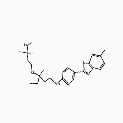 CCC(C)(CCNc1ccc(-c2nc3ccc(C)cc3s2)cc1)OCCC(C)(C)NC